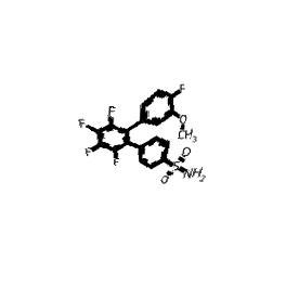 COc1cc(-c2c(F)c(F)c(F)c(F)c2-c2ccc(S(N)(=O)=O)cc2)ccc1F